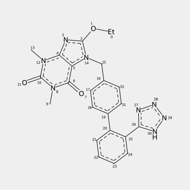 CCOc1nc2c(c(=O)n(C)c(=O)n2C)n1Cc1ccc(-c2ccccc2-c2nnn[nH]2)cc1